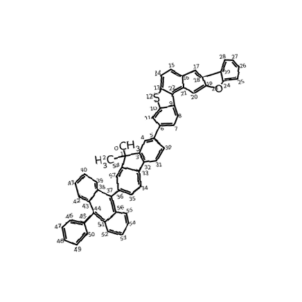 CC1(C)c2cc(-c3ccc4c(c3)sc3ccc5cc6c(cc5c34)oc3ccccc36)ccc2-c2ccc(-c3c4ccccc4c(-c4ccccc4)c4ccccc34)cc21